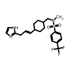 CN(CC1CCC(/C=C/Cc2ncc[nH]2)CC1)S(=O)(=O)c1ccc(C(F)(F)F)cc1